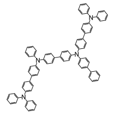 c1ccc(-c2ccc(N(c3ccc(-c4ccc(N(c5ccccc5)c5ccccc5)cc4)cc3)c3ccc(-c4ccc(N(c5ccccc5)c5ccc(-c6ccc(N(c7ccccc7)c7ccccc7)cc6)cc5)cc4)cc3)cc2)cc1